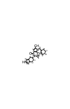 Cc1cc(C(=O)N(C2CC2)C2CCc3n[nH]cc3C2)c(C)n1CC1CCCCC1